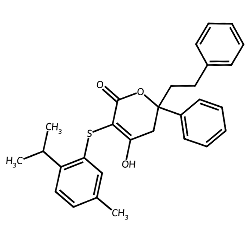 Cc1ccc(C(C)C)c(SC2=C(O)CC(CCc3ccccc3)(c3ccccc3)OC2=O)c1